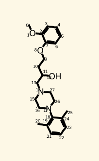 COc1ccccc1OCCC(O)CN1C[CH]N(c2c(C)cccc2C)CC1